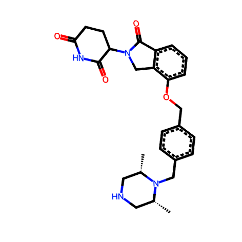 C[C@@H]1CNC[C@H](C)N1Cc1ccc(COc2cccc3c2CN(C2CCC(=O)NC2=O)C3=O)cc1